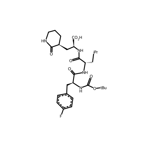 CC(C)C[C@H](NC(=O)[C@H](Cc1ccc(F)cc1)NC(=O)OC(C)(C)C)C(=O)N[C@@H](C[C@@H]1CCCNC1=O)C(=O)O